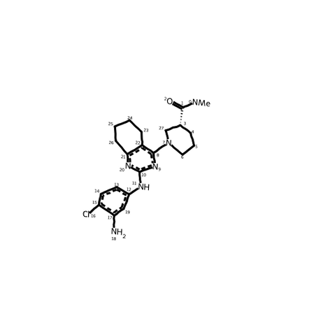 CNC(=O)[C@@H]1CCCN(c2nc(Nc3ccc(Cl)c(N)c3)nc3c2CCCC3)C1